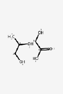 CC(O)CO.O=C(O)CO